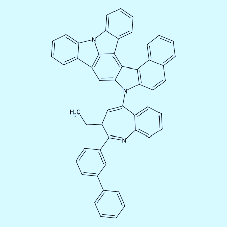 CCC1C=C(n2c3ccc4ccccc4c3c3c4c5ccccc5n5c6ccccc6c(cc32)c45)c2ccccc2N=C1c1cccc(-c2ccccc2)c1